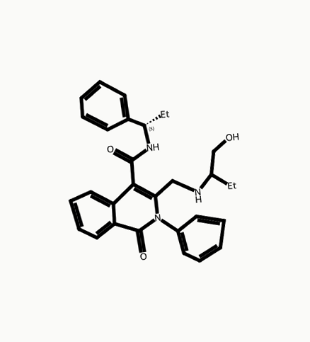 CCC(CO)NCc1c(C(=O)N[C@@H](CC)c2ccccc2)c2ccccc2c(=O)n1-c1ccccc1